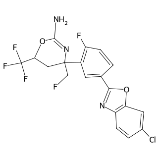 NC1=NC(CF)(c2cc(-c3nc4ccc(Cl)cc4o3)ccc2F)CC(C(F)(F)F)O1